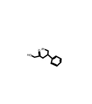 CC(C)CC(CC(=O)CO)c1ccccc1